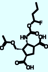 CCCC(F)OC(=O)N[C@H]1[C@@H](COC(C)=O)[C@H](C(=O)O)C[C@@H]1C(=O)O